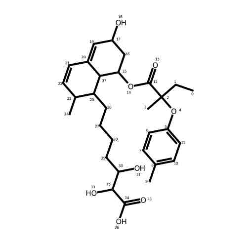 CCC(C)(Oc1ccc(C)cc1)C(=O)OC1CC(O)C=C2C=CC(C)C(CCCCC(O)C(O)C(=O)O)C21